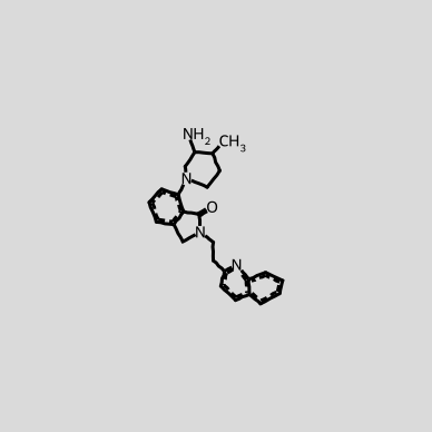 CC1CCN(c2cccc3c2C(=O)N(CCc2ccc4ccccc4n2)C3)CC1N